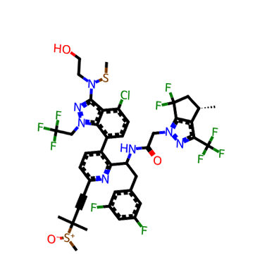 CSN(CCO)c1nn(CC(F)(F)F)c2c(-c3ccc(C#CC(C)(C)[S+](C)[O-])nc3C(Cc3cc(F)cc(F)c3)NC(=O)Cn3nc(C(F)(F)F)c4c3C(F)(F)C[C@@H]4C)ccc(Cl)c12